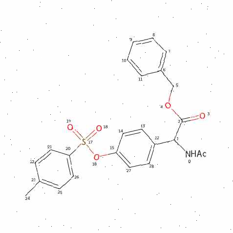 CC(=O)NC(C(=O)OCc1ccccc1)c1ccc(OS(=O)(=O)c2ccc(C)cc2)cc1